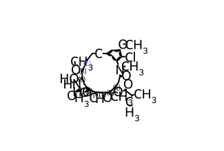 COc1cc2cc(c1Cl)N(C)C(=O)C[C@H](OC(=O)C(C)C)[C@@]1(C)O[C@H]1[C@H](C)[C@]1(O)C[C@@](O)(NC(=O)O1)[C@H](OC)/C=C/CC2